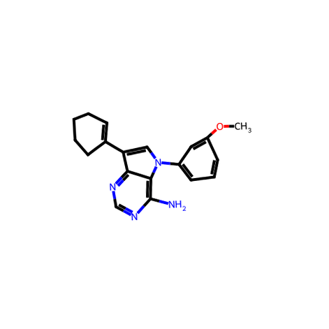 COc1cccc(-n2cc(C3=CCCCC3)c3ncnc(N)c32)c1